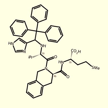 CSCC[C@H](NC(=O)[C@H]1Cc2ccccc2CN1C(=O)[C@@H](NC(c1c[nH]cn1)C(c1ccccc1)(c1ccccc1)c1ccccc1)C(C)C)C(=O)O